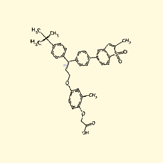 CC1=Cc2cc(-c3ccc(/C(=C\COc4ccc(OCC(=O)O)c(C)c4)c4ccc(C(C)(C)C)cc4)cc3)ccc2S1(=O)=O